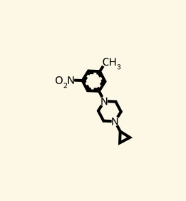 Cc1cc(N2CCN(C3CC3)CC2)cc([N+](=O)[O-])c1